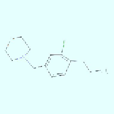 CCCc1ccc(CN2CCSCC2)cc1F